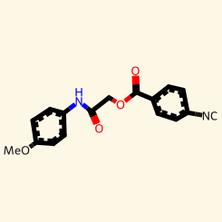 [C-]#[N+]c1ccc(C(=O)OCC(=O)Nc2ccc(OC)cc2)cc1